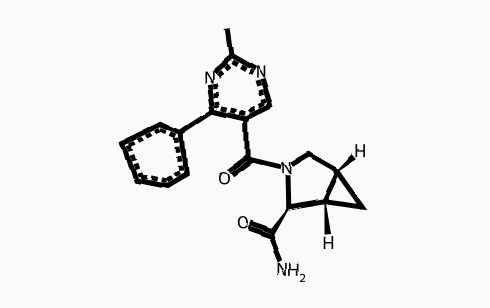 Cc1ncc(C(=O)N2C[C@@H]3C[C@@H]3[C@H]2C(N)=O)c(-c2ccccc2)n1